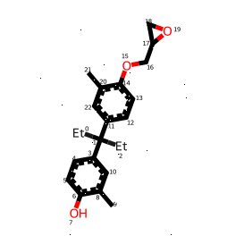 CCC(CC)(c1ccc(O)c(C)c1)c1ccc(OCC2CO2)c(C)c1